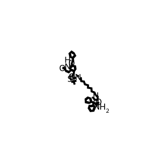 CC(C)(C)[Si](C)(C)O[C@@H](CNCCCCCCCCCN1CC[C@@H](C(C(N)=O)(c2ccccc2)c2ccccc2)C1)c1ccc(OCc2ccccc2)c2[nH]c(=O)ccc12